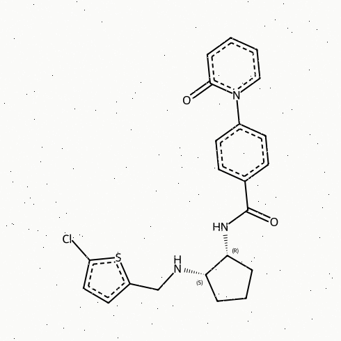 O=C(N[C@@H]1CCC[C@@H]1NCc1ccc(Cl)s1)c1ccc(-n2ccccc2=O)cc1